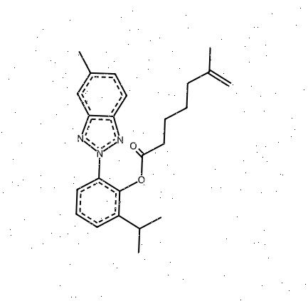 C=C(C)CCCCC(=O)Oc1c(C(C)C)cccc1-n1nc2ccc(C)cc2n1